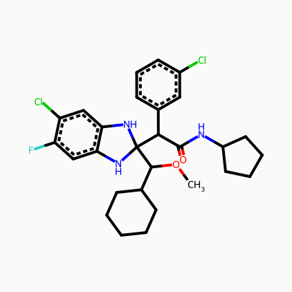 COC(C1CCCCC1)C1(C(C(=O)NC2CCCC2)c2cccc(Cl)c2)Nc2cc(F)c(Cl)cc2N1